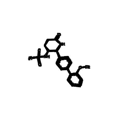 CCOc1ccccc1-c1ccc([C@@H]2NC(=O)CC[C@@H]2NS(=O)(=O)C(C)C)cc1